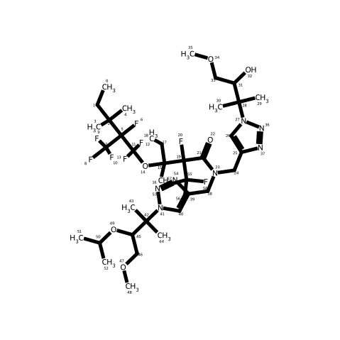 CCC(C)(C)C(F)(C(F)(F)F)C(F)(F)OC(C)(CC)C(F)(C(=O)N(Cc1cn(C(C)(C)C(O)COC)nn1)Cc1cn(C(C)(C)C(COC)OC(C)C)nn1)C(F)(F)F